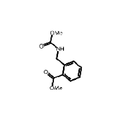 COC(=O)NCc1ccccc1C(=O)OC